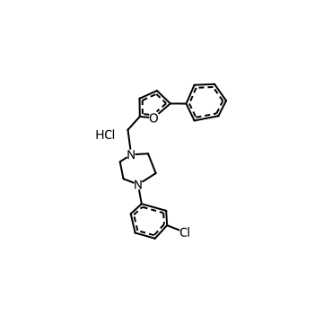 Cl.Clc1cccc(N2CCN(Cc3ccc(-c4ccccc4)o3)CC2)c1